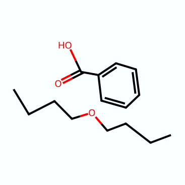 CCCCOCCCC.O=C(O)c1ccccc1